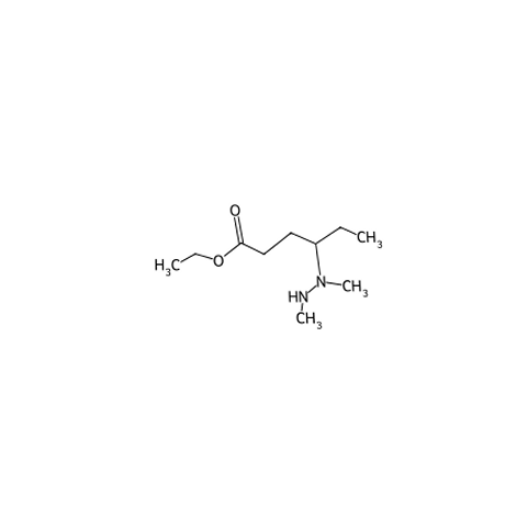 CCOC(=O)CCC(CC)N(C)NC